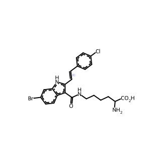 NC(CCCCNC(=O)c1c(/C=C/c2ccc(Cl)cc2)[nH]c2cc(Br)ccc12)C(=O)O